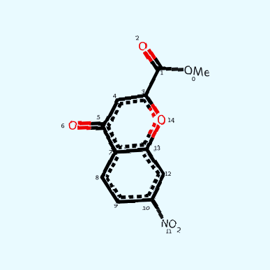 COC(=O)c1cc(=O)c2ccc([N+](=O)[O-])cc2o1